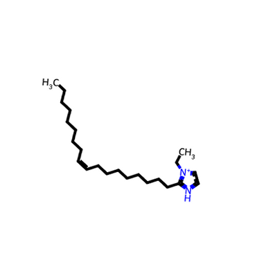 CCCCCCCC/C=C\CCCCCCCCc1[nH]cc[n+]1CC